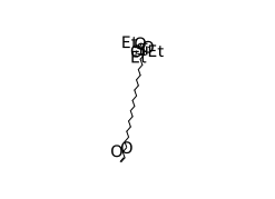 C=CC(=O)OCCCCCCCCCCCCCCCCCC[Si](OCC)(OCC)OCC